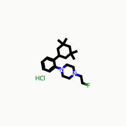 CC1(C)CC(c2ccccc2N2CCN(CCF)CC2)CC(C)(C)C1.Cl